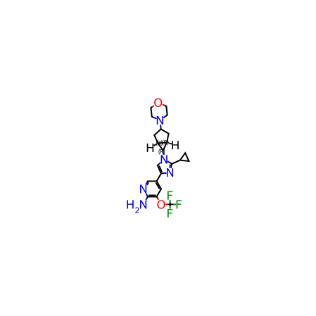 Nc1ncc(-c2cn([C@H]3[C@@H]4CC(N5CCOCC5)C[C@@H]43)c(C3CC3)n2)cc1OC(F)(F)F